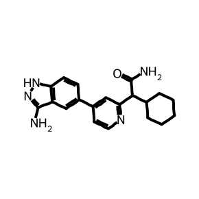 NC(=O)C(c1cc(-c2ccc3[nH]nc(N)c3c2)ccn1)C1CCCCC1